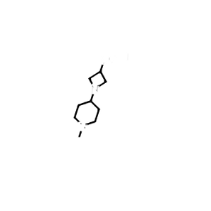 CN1CCC(N2CC(C(=O)O)C2)CC1